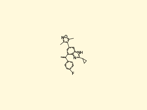 C=C(c1ccc(F)cc1)c1cc(-c2c(C)noc2C)cc2[nH]c(C3CC3)nc12